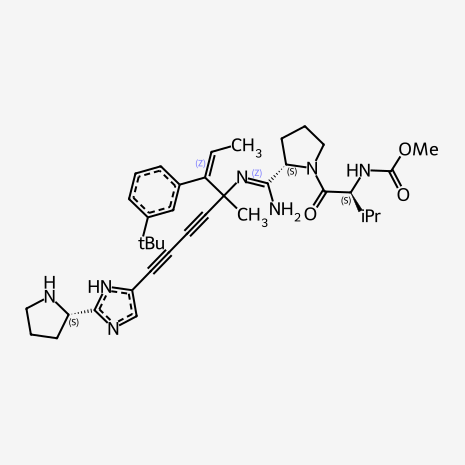 C/C=C(/c1cccc(C(C)(C)C)c1)C(C)(C#CC#Cc1cnc([C@@H]2CCCN2)[nH]1)/N=C(\N)[C@@H]1CCCN1C(=O)[C@@H](NC(=O)OC)C(C)C